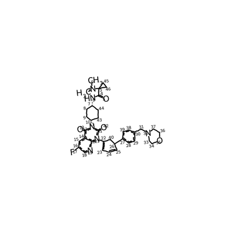 CN(C)C1(C(=O)N[C@H]2CC[C@@H](n3c(=O)c4cc(F)cnc4n(C4=CC=CC(c5ccc(CN6CCOCC6)cc5)C4)c3=O)CC2)CC1